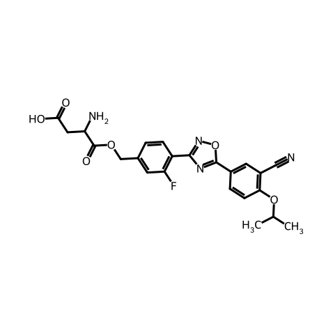 CC(C)Oc1ccc(-c2nc(-c3ccc(COC(=O)C(N)CC(=O)O)cc3F)no2)cc1C#N